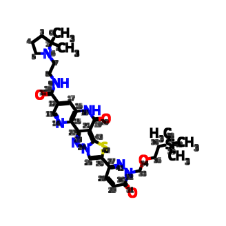 CC1(C)CCCN1CCNC(=O)c1cnc2c(c1)[nH]c(=O)c1c2nn2cc(-c3ccc(=O)n(COCC[Si](C)(C)C)n3)sc12